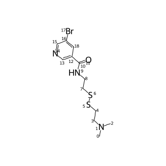 CN(C)CCSSCCNC(=O)c1cncc(Br)c1